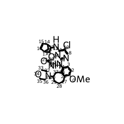 COc1ccc(Nc2ncc(Cl)c(NC3C4C=CC(C4)C3OC(N)=O)n2)c2c1CCCC(N1CCOCC1)C2